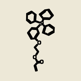 C=CC(=O)OCCOc1cccc([Si](c2ccccc2)(c2ccccc2)c2ccccc2)c1